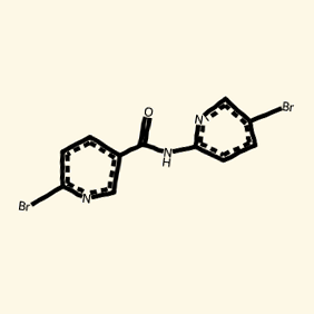 O=C(Nc1ccc(Br)cn1)c1ccc(Br)nc1